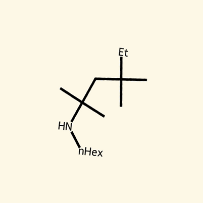 CCCCCCNC(C)(C)CC(C)(C)CC